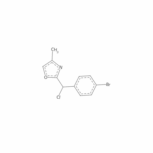 Cc1coc(C(Cl)c2ccc(Br)cc2)n1